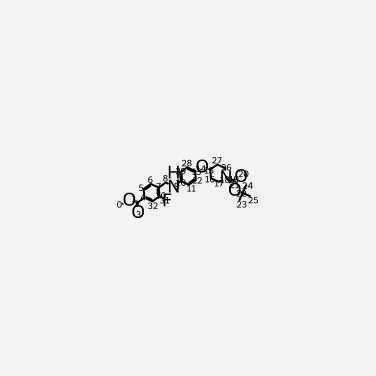 COC(=O)c1ccc(CNc2ccc(OC3CCN(C(=O)OC(C)(C)C)CC3)cc2)c(F)c1